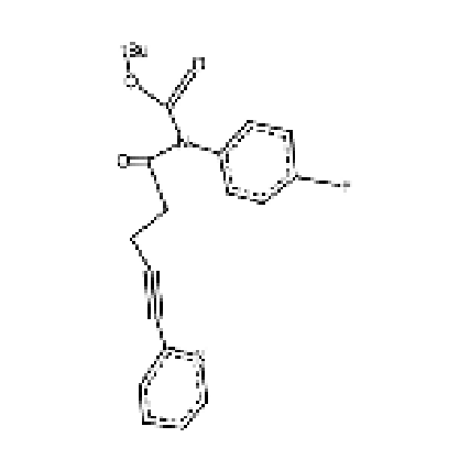 CC(C)(C)OC(=O)N(C(=O)CCC#Cc1ccccn1)c1ccc(F)cc1